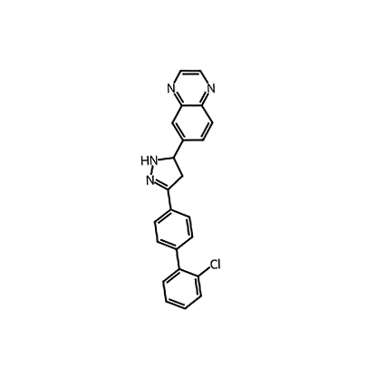 Clc1ccccc1-c1ccc(C2=NNC(c3ccc4nccnc4c3)C2)cc1